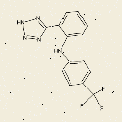 FC(F)(F)c1ccc(Nc2ccccc2-c2nn[nH]n2)cc1